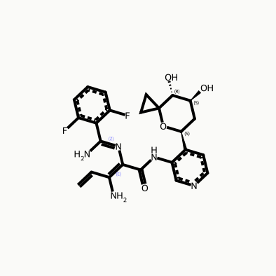 C=C/C(N)=C(\N=C(/N)c1c(F)cccc1F)C(=O)Nc1cnccc1[C@@H]1C[C@H](O)[C@@H](O)C2(CC2)O1